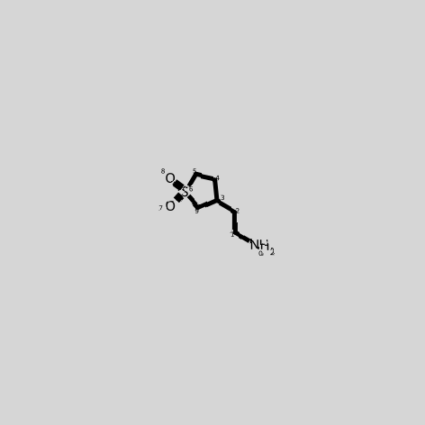 NCCC1CCS(=O)(=O)C1